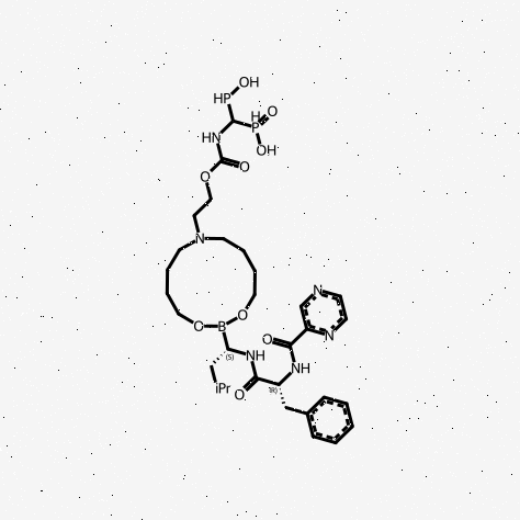 CC(C)C[C@@H](NC(=O)[C@@H](Cc1ccccc1)NC(=O)c1cnccn1)B1OCCCCN(CCOC(=O)NC(PO)[PH](=O)O)CCCCO1